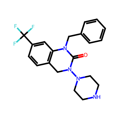 O=C1N(Cc2ccccc2)c2cc(C(F)(F)F)ccc2CN1N1CCNCC1